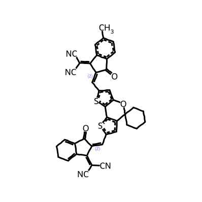 Cc1ccc2c(c1)C(=C(C#N)C#N)/C(=C/c1cc3c(s1)-c1sc(/C=C4\C(=O)C5=CCCC=C5C4=C(C#N)C#N)cc1C1(CCCCC1)O3)C2=O